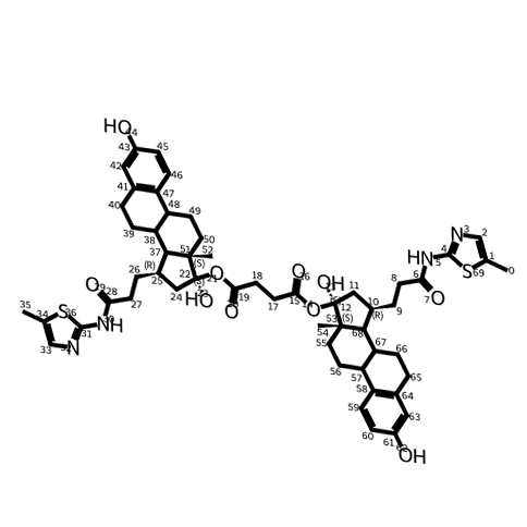 Cc1cnc(NC(=O)CC[C@@H]2C[C@](O)(OC(=O)CCC(=O)O[C@@]3(O)C[C@@H](CCC(=O)Nc4ncc(C)s4)C4C5CCc6cc(O)ccc6C5CC[C@@]43C)[C@@]3(C)CCC4c5ccc(O)cc5CCC4C23)s1